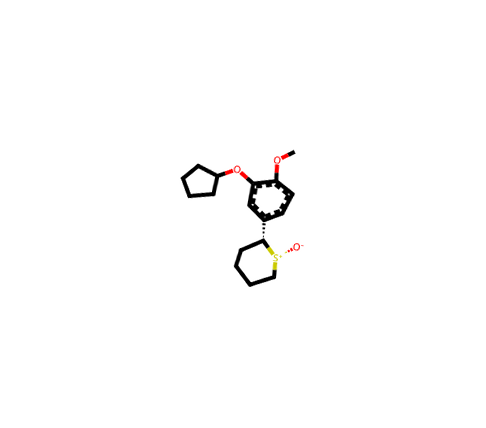 COc1ccc([C@H]2CCCC[S@@+]2[O-])cc1OC1CCCC1